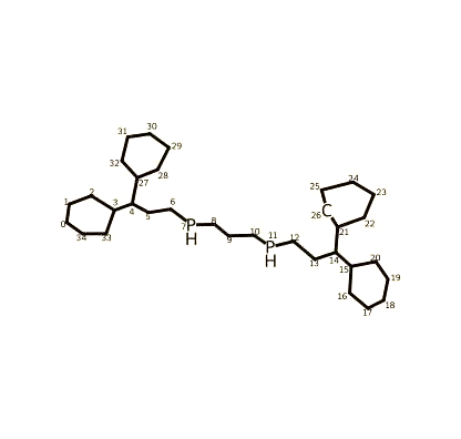 C1CCC(C(CCPCCCPCCC(C2CCCCC2)C2CCCCC2)C2CCCCC2)CC1